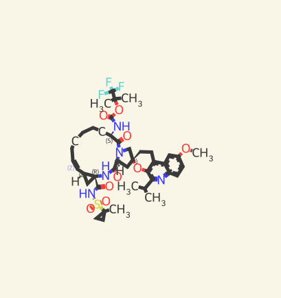 COc1ccc2nc(C(C)C)c3c(c2c1)CC[C@]1(C[C@H]2C(=O)N[C@]4(C(=O)NS(=O)(=O)C5(C)CC5)C[C@H]4/C=C\CCCCC[C@H](NC(=O)OC(C)(C)C(F)(F)F)C(=O)N2C1)O3